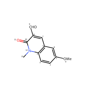 COc1ccc2c(c1)cc(C=O)c(=O)n2C